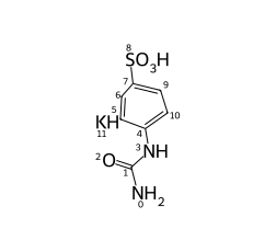 NC(=O)Nc1ccc(S(=O)(=O)O)cc1.[KH]